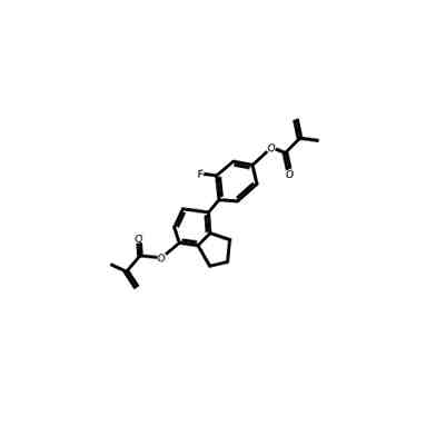 C=C(C)C(=O)Oc1ccc(-c2ccc(OC(=O)C(=C)C)c3c2CCC3)c(F)c1